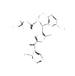 Cc1sc(C(=O)c2cncnc2Cl)cc1C1c2cc(Cl)ccc2CCN1C(=O)OC(C)(C)C